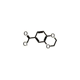 O=C(Cl)c1ccc2c(c1)OCCO2